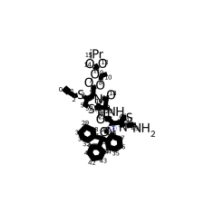 C#CCSC1=C(C(=O)OC(C)OC(=O)OC(C)C)N2C(=O)[C@@H](NC(=O)/C(=N\OC(c3ccccc3)(c3ccccc3)c3ccccc3)c3csc(N)n3)[C@H]2SC1